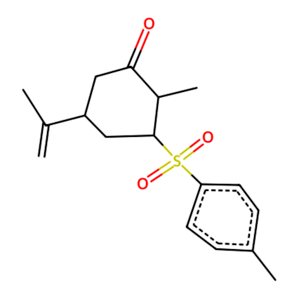 C=C(C)C1CC(=O)C(C)C(S(=O)(=O)c2ccc(C)cc2)C1